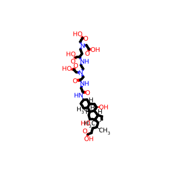 C[C@H](CCC(=O)O)[C@H]1CC[C@H]2[C@@H]3[C@H](O)C[C@@H]4C[C@@H](NC(=O)CNC(=O)CN(CCNC(CCN(CC(=O)O)CC(=O)O)C(=O)O)CC(=O)O)CC[C@]4(C)[C@H]3C[C@H](O)[C@]12C